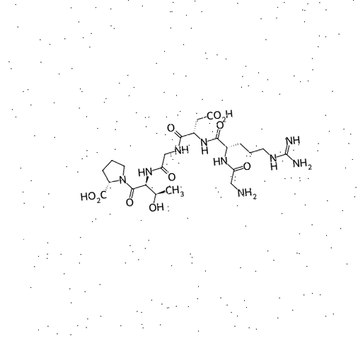 C[C@@H](O)[C@H](NC(=O)CNC(=O)[C@H](CC(=O)O)NC(=O)[C@H](CCCNC(=N)N)NC(=O)CN)C(=O)N1CCC[C@H]1C(=O)O